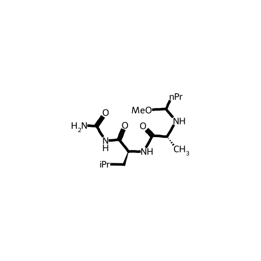 CCCC(N[C@H](C)C(=O)N[C@@H](CC(C)C)C(=O)NC(N)=O)OC